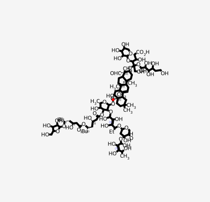 CCC(OC1CC(O)(OC(O)/C(O)=C(/O)C(C)O)C(O)CO1)/C(O)=C(\O)C(O)OC1C(OC(=O)[C@]23CCC(C)(C)CC2C2=CCC4[C@@]5(C)CC[C@H](OC(CO)(OC(O)C(O)C(O)C(O)CCO)C(OC6OCC(O)C(O)C6O)C(O)CC(=O)O)[C@@](C)(C=O)C5CC[C@@]4(C)[C@]2(C)C[C@H]3O)OC(C)C(O)C1OC(=O)C[C@@H](O)C[C@H](OC(=O)C[C@@H](O)C[C@H](OC1OC(CO)C(O)C1O)[C@@H](C)CC)[C@@H](C)CC